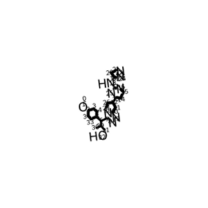 COc1ccc(C(c2nnc3cc(-c4ccnc(Nc5ccnn5C)n4)ccn23)C(C)CO)cc1